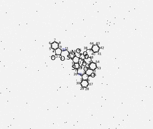 O=C1C(=O)c2ccccc2/C1=C/c1nc2c(s1)-c1sc(/C=C3\C(=O)C(=O)c4ccccc43)nc1C2(C(=O)OCc1ccccc1)C(=O)OCc1ccccc1